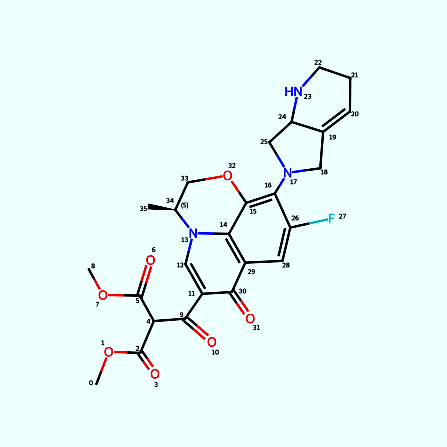 COC(=O)C(C(=O)OC)C(=O)c1cn2c3c(c(N4CC5=CCCNC5C4)c(F)cc3c1=O)OC[C@@H]2C